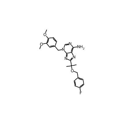 COc1ccc(Cn2cnc(N)c3nc(C(C)(C)OCc4ccc(F)cc4)nc2-3)cc1OC